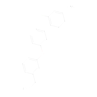 COc1ccc(-c2cccc(Oc3cccc(CC(=O)O)c3)c2)c(F)c1